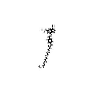 NCCOCCOCCOCCOCc1ccc(COc2nc(N)nc3[nH]cnc23)cc1